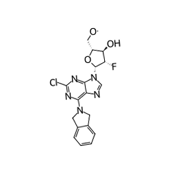 [O]C[C@H]1O[C@@H](n2cnc3c(N4Cc5ccccc5C4)nc(Cl)nc32)[C@@H](F)[C@@H]1O